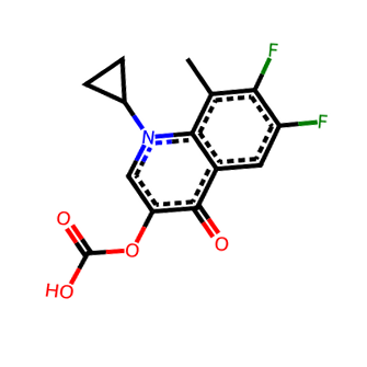 Cc1c(F)c(F)cc2c(=O)c(OC(=O)O)cn(C3CC3)c12